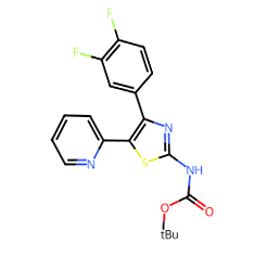 CC(C)(C)OC(=O)Nc1nc(-c2ccc(F)c(F)c2)c(-c2ccccn2)s1